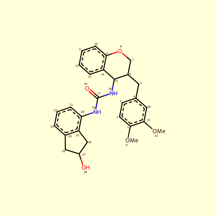 COc1ccc(CC2COc3ccccc3C2NC(=O)Nc2cccc3c2CC(O)C3)cc1OC